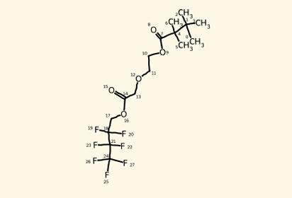 CC(C)(C)C(C)(C)C(=O)OCCOCC(=O)OCC(F)(F)C(F)(F)C(F)(F)F